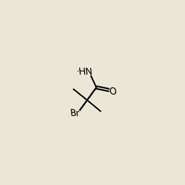 CC(C)(Br)C([NH])=O